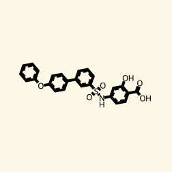 O=C(O)c1ccc(NS(=O)(=O)c2cccc(-c3ccc(Oc4ccccc4)cc3)c2)cc1O